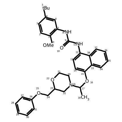 COc1ccc(C(C)(C)C)cc1NC(=O)Nc1ccc(OC(C)N2CCOC(COc3ccccc3)C2)c2ccccc12